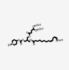 CCCCC/C=C\C/C=C\CCCCCCCC(=O)OCC(COC(=O)CCC(OCCCCCCCC)OCCCCCCCC)COC(=O)OC1CCN(CC)CC1